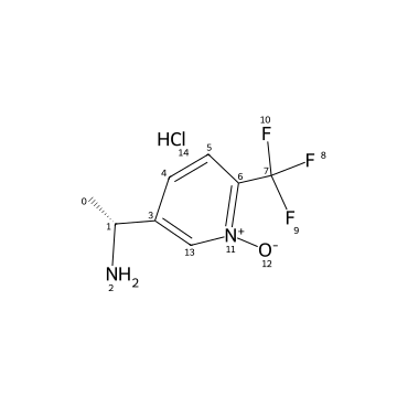 C[C@@H](N)c1ccc(C(F)(F)F)[n+]([O-])c1.Cl